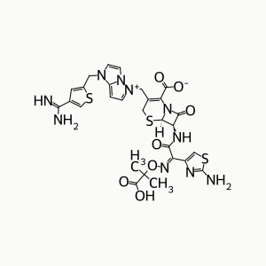 CC(C)(O/N=C(\C(=O)N[C@@H]1C(=O)N2C(C(=O)[O-])=C(C[n+]3ccc4n(Cc5cc(C(=N)N)cs5)ccn43)CS[C@H]12)c1csc(N)n1)C(=O)O